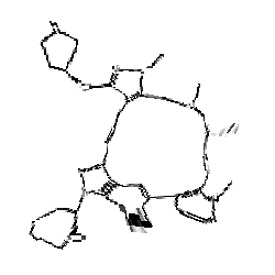 C[C@H]1CN(C)Cc2c(c(O[C@H]3CCNC3)nn2C)/C=C/c2nn(C3CCCCO3)c3ccc(cc23)-c2cnn(C)c2O1